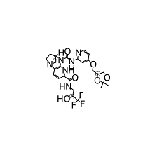 CC1(C)OC[C@H](COc2ccnc(NC(=O)N3C4=C(C=CC(C(=O)NC[C@H](O)C(F)(F)F)N4)N4CC[C@H]3C4)c2)O1